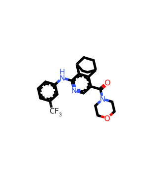 O=C(c1cnc(Nc2cccc(C(F)(F)F)c2)c2c1C1CCC2CC1)N1CCOCC1